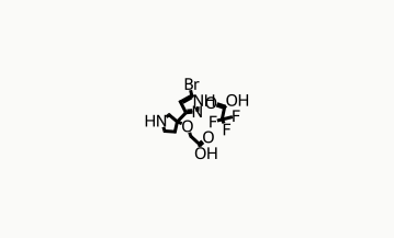 O=C(O)C(F)(F)F.O=C(O)COC1(c2cc(Br)[nH]n2)CCNC1